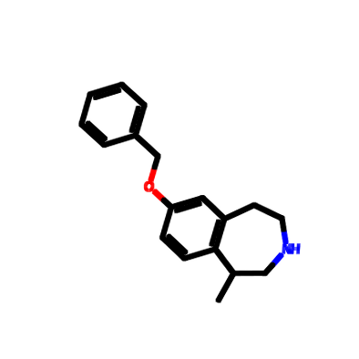 CC1CNCCc2cc(OCc3ccccc3)ccc21